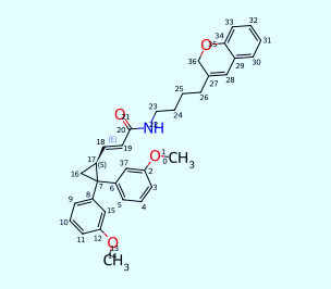 COc1cccc(C2(c3cccc(OC)c3)C[C@H]2/C=C/C(=O)NCCCCC2=Cc3ccccc3OC2)c1